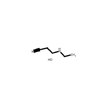 CCNCCC#N.Cl